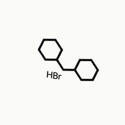 Br.C1CCC(CC2CCCCC2)CC1